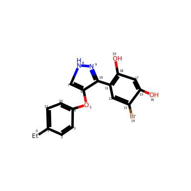 CCc1ccc(Oc2c[nH]nc2-c2cc(Br)c(O)cc2O)cc1